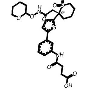 O=C(O)CCC(=O)Nc1cccc(-c2ccc([C@@]3(CC(=O)NOC4CCCCO4)CCCCS3(=O)=O)s2)c1